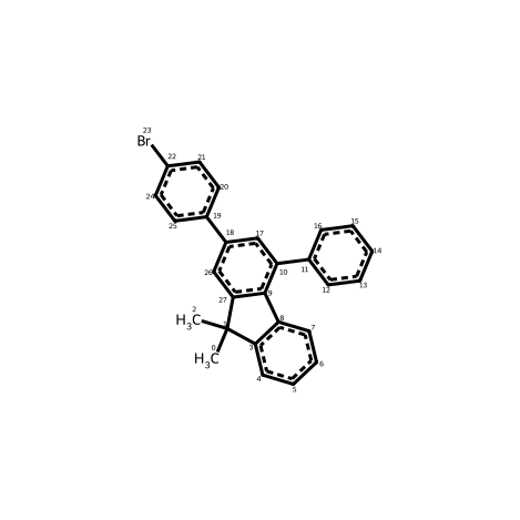 CC1(C)c2ccccc2-c2c(-c3ccccc3)cc(-c3ccc(Br)cc3)cc21